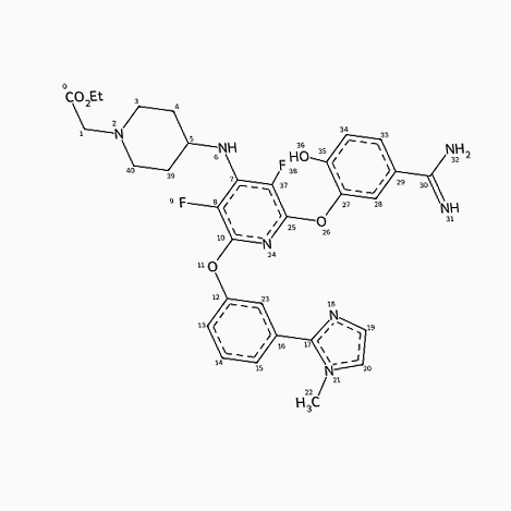 CCOC(=O)CN1CCC(Nc2c(F)c(Oc3cccc(-c4nccn4C)c3)nc(Oc3cc(C(=N)N)ccc3O)c2F)CC1